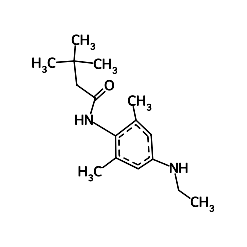 CCNc1cc(C)c(NC(=O)CC(C)(C)C)c(C)c1